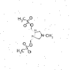 CN1C[C@@H](COS(C)(=O)=O)[C@@H](COS(C)(=O)=O)C1